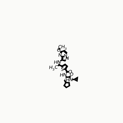 COc1ccn2ncc(NC(C)c3ccc(C(=O)N[C@@H](CC4CCCC4)C(=O)NC4CC4)s3)c2n1